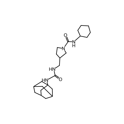 O=C(NCC1CCN(C(=O)NC2CCCCC2)C1)NC12CC3CC(CC(C3)C1)C2